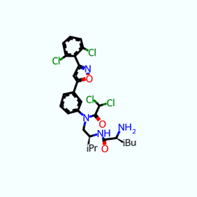 CCC(C)[C@H](N)C(=O)N[C@H](CN(C(=O)C(Cl)Cl)c1cccc(-c2cc(-c3c(Cl)cccc3Cl)no2)c1)C(C)C